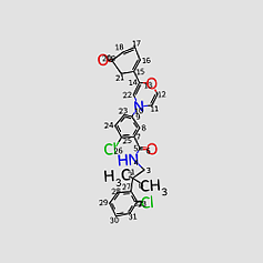 CC(C)(CNC(=O)c1cc(N2C=COC(C3=CC=CC(=O)C3)=C2)ccc1Cl)c1ccccc1Cl